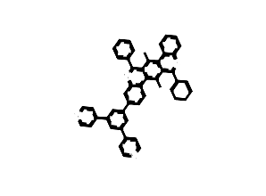 Cc1c2c(-c3ccccc3)nc3cc(-c4cc(-c5ccncc5)cc(-c5ccncc5)c4)ccc3c2c(C)c2c(C3=CCCC=C3)nc3ccccc3c12